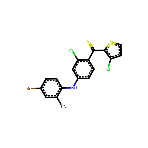 N#Cc1cc(Br)ccc1Nc1ccc(C(=S)c2sccc2Cl)c(Cl)c1